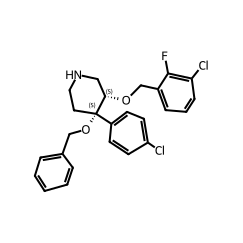 Fc1c(Cl)cccc1CO[C@H]1CNCC[C@]1(OCc1ccccc1)c1ccc(Cl)cc1